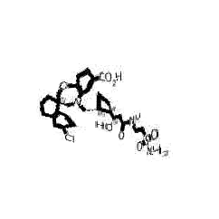 NS(=O)(=O)CCNC(=O)C[C@H](O)[C@@H]1CC[C@H]1CN1C[C@@]2(CCCc3cc(Cl)ccc32)COc2ccc(C(=O)O)cc21